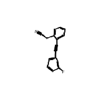 N#CCc1ccccc1C#Cc1cccc(F)c1